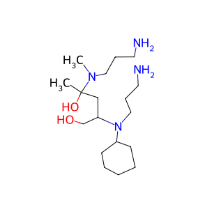 CN(CCCN)C(C)(O)CC(CO)N(CCCN)C1CCCCC1